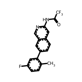 Cc1ccc(F)cc1-c1ccc2cc(NC(=O)C(F)(F)F)ncc2c1